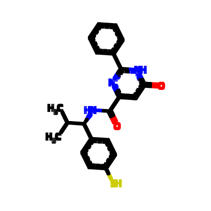 CC(C)[C@@H](NC(=O)c1cc(=O)[nH]c(-c2ccccc2)n1)c1ccc(S)cc1